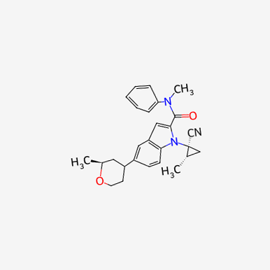 C[C@H]1CC(c2ccc3c(c2)cc(C(=O)N(C)c2ccccc2)n3[C@@]2(C#N)C[C@@H]2C)CCO1